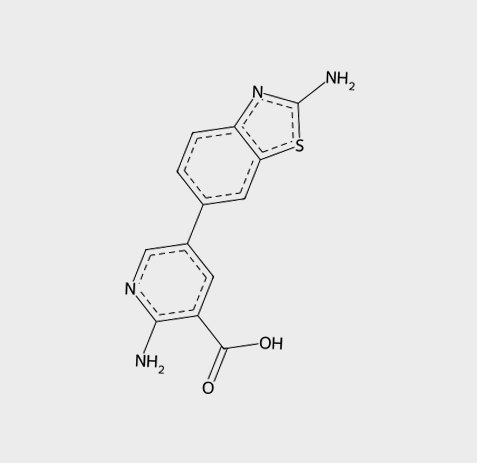 Nc1nc2ccc(-c3cnc(N)c(C(=O)O)c3)cc2s1